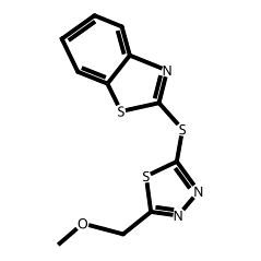 COCc1nnc(Sc2nc3ccccc3s2)s1